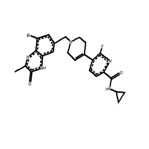 Cc1nc2c(Br)cc(CN3CC=C(c4ccc(C(=O)NC5CC5)nc4F)CC3)cc2[nH]c1=O